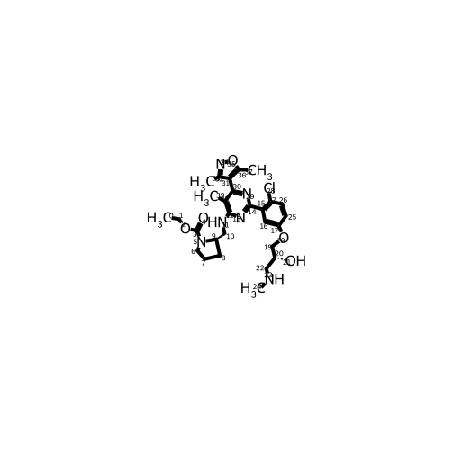 CCOC(=O)N1CCC[C@@H]1CNc1nc(-c2cc(OC[C@H](O)CNC)ccc2Cl)nc(-c2c(C)noc2C)c1C